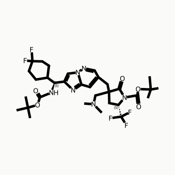 CN(C)CC1(Cc2cnn3cc([C@@H](NC(=O)OC(C)(C)C)C4CCC(F)(F)CC4)nc3c2)C[C@@H](C(F)(F)F)N(C(=O)OC(C)(C)C)C1=O